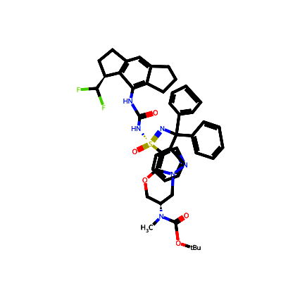 CN(C(=O)OC(C)(C)C)[C@@H]1COc2c([S@@](=O)(=NC(c3ccccc3)(c3ccccc3)c3ccccc3)NC(=O)Nc3c4c(cc5c3[C@@H](C(F)F)CC5)CCC4)cnn2C1